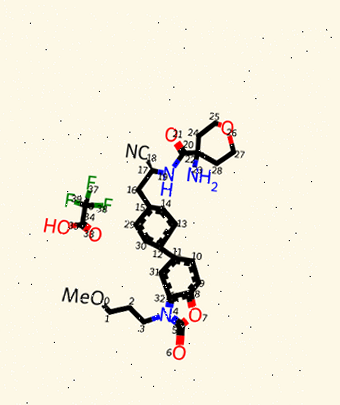 COCCCn1c(=O)oc2ccc(-c3ccc(C[C@@H](C#N)NC(=O)C4(N)CCOCC4)cc3)cc21.O=C(O)C(F)(F)F